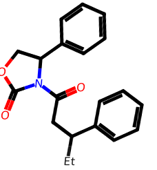 CCC(CC(=O)N1C(=O)OCC1c1ccccc1)c1ccccc1